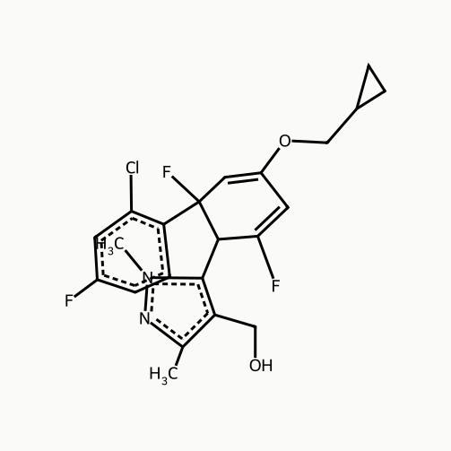 Cc1nn(C)c(C2C(F)=CC(OCC3CC3)=CC2(F)c2ccc(F)cc2Cl)c1CO